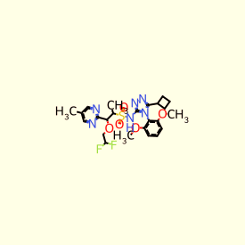 COc1cccc(OC)c1-n1c(NS(=O)(=O)C(C)C(OCC(F)F)c2ncc(C)cn2)nnc1C1CCC1